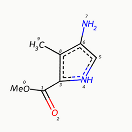 COC(=O)c1[nH]cc(N)c1C